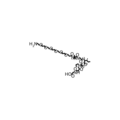 CC[C@H](C)[C@@H]([C@@H](CC(=O)N1CCC[C@H]1[C@H](OC)[C@@H](C)C(=O)NCC(=O)O)OC)N(C)C(=O)CNC(=O)C(C)(C)N(C)C(=O)CCOCCOCCOCCOCCOCCOCCN